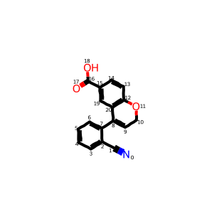 N#Cc1ccccc1C1=CCOc2ccc(C(=O)O)cc21